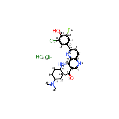 CC(=O)c1cnc2ccc(-c3cc(F)c(O)c(Cl)c3)nc2c1NC1CCC(N(C)C)CC1.Cl.Cl